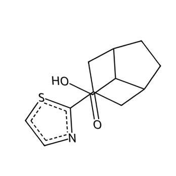 O=C(O)C1C2CCC1CC(c1nccs1)C2